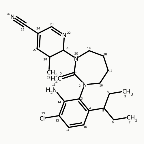 C=C1N(c2c(C(CC)CC)ccc(Cl)c2N)CCCCN1C1N=CC(C#N)=CC1C